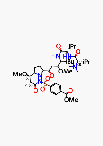 CCC(C)C(C(CC(=O)C1CCC([C@H](OC)[C@@H](C)C(=O)NS(=O)(=O)c2ccc(C(=O)OC)cc2)N1)OC)N(C)C(=O)[C@@H](NC(=O)[C@H](C(C)C)N(C)C)C(C)C